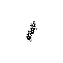 CC(NC(=O)c1ccc2c(c1)CN(C1CCC(=O)NC1=O)C2=O)c1ccc(Cl)cc1F